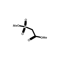 COC(=O)CS(=O)(=O)OC